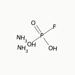 N.N.O=P(O)(O)F